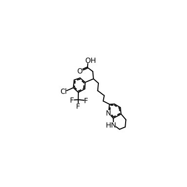 O=C(O)CC(CCCCc1ccc2c(n1)NCCC2)c1ccc(Cl)c(C(F)(F)F)c1